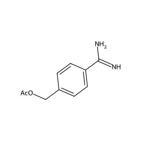 CC(=O)OCc1ccc(C(=N)N)cc1